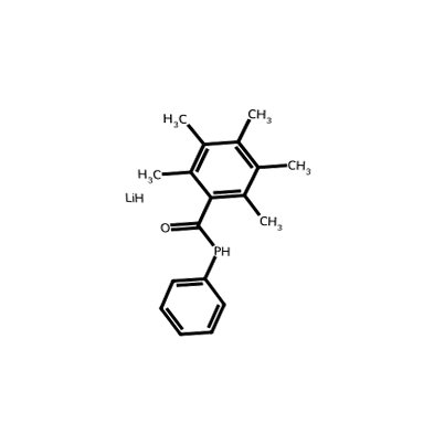 Cc1c(C)c(C)c(C(=O)Pc2ccccc2)c(C)c1C.[LiH]